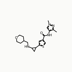 Cc1nn(C)cc1NC(=O)c1csc(C2CC2NCC2CCOCC2)c1